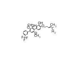 COc1cc(-c2cccc(C(F)(F)F)c2)c(OC)c(O)c1-c1ccc(OCCC=C(C)C)c(O)c1